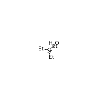 CC[Si](CC)CC.O